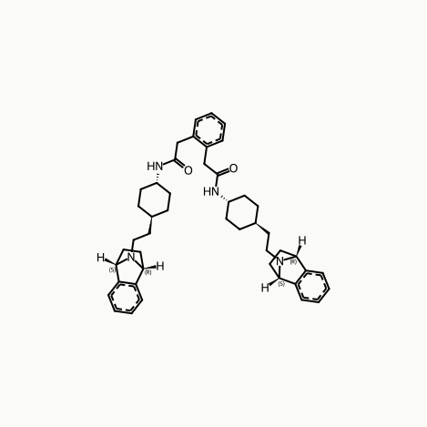 O=C(Cc1ccccc1CC(=O)N[C@H]1CC[C@H](CCN2[C@@H]3CC[C@H]2c2ccccc23)CC1)N[C@H]1CC[C@H](CCN2[C@@H]3CC[C@H]2c2ccccc23)CC1